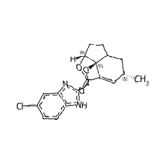 C[C@@H]1C=C2C(=O)O[C@@H]3CCC(C1)[C@]23OCc1nc2cc(Cl)ccc2[nH]1